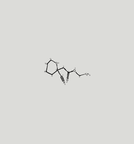 CCOC(=O)CC1(C#N)CCCCO1